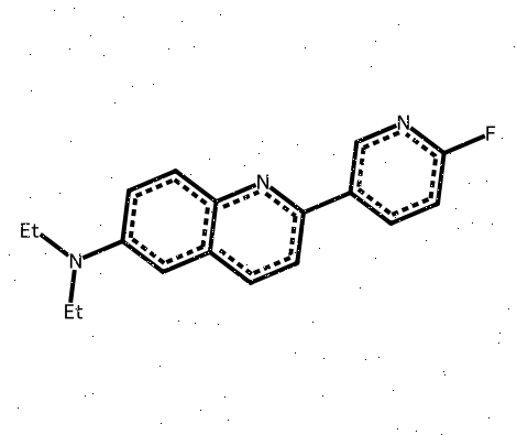 CCN(CC)c1ccc2nc(-c3ccc(F)nc3)ccc2c1